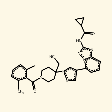 N#CCC1(n2cc(-c3cccc4nc(NC(=O)C5CC5)nn34)cn2)CCN(C(=O)c2c(F)cccc2C(F)(F)F)CC1